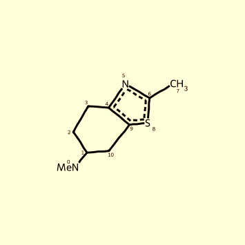 CNC1CCc2nc(C)sc2C1